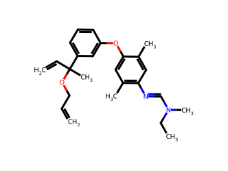 C=CCOC(C)(C=C)c1cccc(Oc2cc(C)c(N=CN(C)CC)cc2C)c1